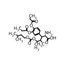 CCC(=O)Oc1ccc(C(C(C)C(C)OC(=O)OCCC(C)C)[C@H](N)C(=O)O)cc1OC(=O)CC